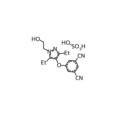 CCc1nn(CCO)c(CC)c1Oc1cc(C#N)cc(C#N)c1.O=S(=O)(O)O